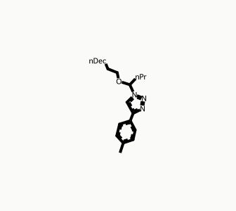 CCCCCCCCCCCCOC(CCC)n1cc(-c2ccc(C)cc2)nn1